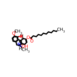 CCCCCCCCCCCC(=O)OC1=CC[C@@]2(O)[C@H]3Cc4ccc(OC)c5c4C2(CCN3C)[C@H]1O5